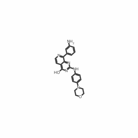 Nc1cccc(-c2nccc3c(O)nc(Nc4ccc(N5CCOCC5)cc4)nc23)c1